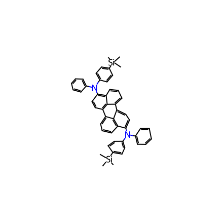 C[Si](C)(C)c1ccc(N(c2ccccc2)c2ccc3c4cccc5c(N(c6ccccc6)c6ccc([Si](C)(C)C)cc6)ccc(c6cccc2c63)c54)cc1